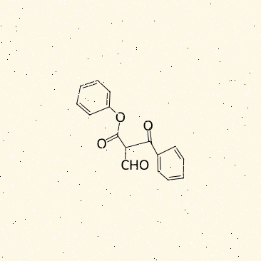 O=CC(C(=O)Oc1ccccc1)C(=O)c1ccccc1